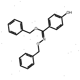 Oc1ccc(/C(=N/OCc2ccccc2)OCc2ccccc2)cc1